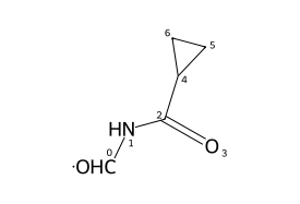 O=[C]NC(=O)C1CC1